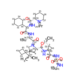 C=C[C@@H]1C[C@]1(NC(=O)[C@@H]1C[C@@]2(CN1C(=O)[C@@H](NC(=O)C(NC(=O)[C@@H]1CCCCN1C(C)C)C1CCCCC1)C(C)(C)C)C(C)(C)C21CCC1)C(=O)NS(=O)(=O)NC(C)(C)C